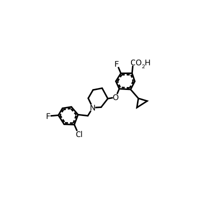 O=C(O)c1cc(C2CC2)c(OC2CCCN(Cc3ccc(F)cc3Cl)C2)cc1F